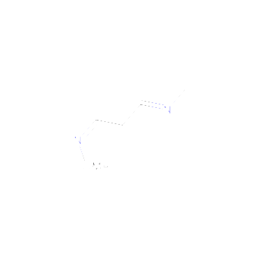 C/N=C/C/C=N\OC